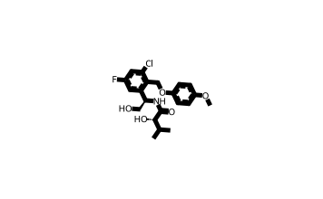 COc1ccc(OCc2c(Cl)cc(F)cc2[C@H](CO)NC(=O)[C@@H](O)C(C)C)cc1